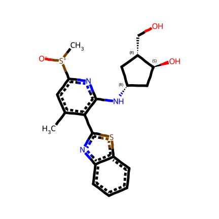 Cc1cc([S+](C)[O-])nc(N[C@@H]2C[C@H](CO)[C@@H](O)C2)c1-c1nc2ccccc2s1